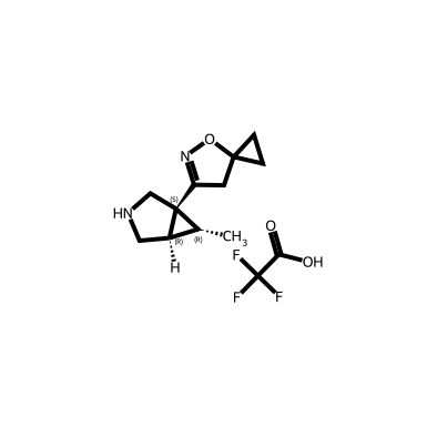 C[C@@H]1[C@H]2CNC[C@]12C1=NOC2(CC2)C1.O=C(O)C(F)(F)F